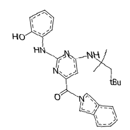 CC(C)(C)CC(C)(C)Nc1cc(C(=O)n2cc3ccccc3c2)nc(Nc2ccccc2O)n1